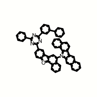 c1ccc(-c2cccc(-c3nc(-c4ccccc4)nc(-c4ccc5oc6c7ccccc7c(-n7c8cc9ccccc9cc8c8ccc9ccccc9c87)cc6c5c4)n3)c2)cc1